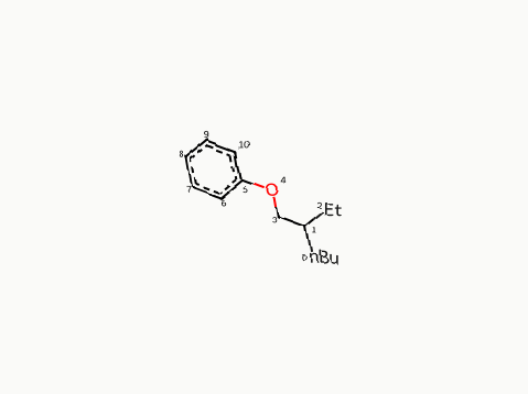 CCCCC(CC)COc1ccccc1